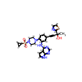 CC(O)(C#Cc1ccc(N2CCN(S(=O)(=O)C3CC3)CC2)c(Nc2ncnc3[nH]ccc23)c1)c1nccs1